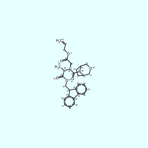 C=CCOC(=O)C[C@@H](C(=O)N1C2CCC1COC2)N(C)C(=O)OCC1c2ccccc2-c2ccccc21